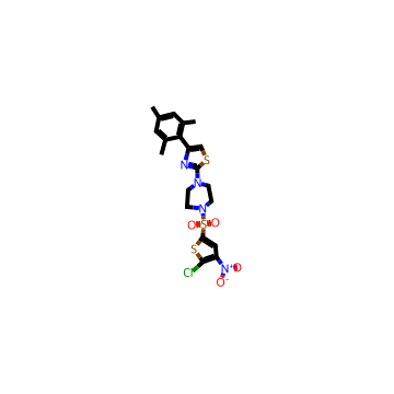 Cc1cc(C)c(-c2csc(N3CCN(S(=O)(=O)c4cc([N+](=O)[O-])c(Cl)s4)CC3)n2)c(C)c1